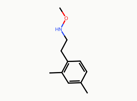 CONCCc1ccc(C)cc1C